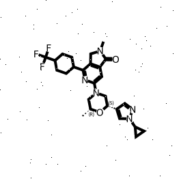 C[C@@H]1CN(c2cc3c(c(C4CCC(C(F)(F)F)CC4)n2)CN(C)C3=O)C[C@H](c2cnn(C3CC3)c2)O1